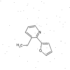 CCc1cccnc1-c1ccco1